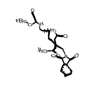 COC(=O)C(CCCNC(=O)OC(C)(C)C)(CN1C(=O)c2ccccc2C1=O)C(=O)OC